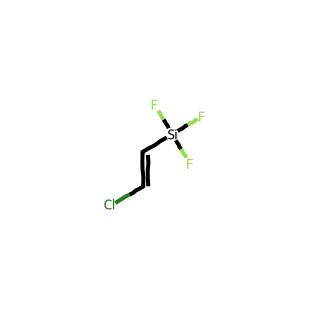 F[Si](F)(F)C=CCl